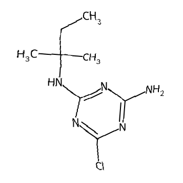 CCC(C)(C)Nc1nc(N)nc(Cl)n1